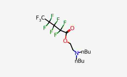 CCCCN(CCCC)CCOC(=O)C(F)(F)C(F)(F)C(F)(F)C(F)(F)F